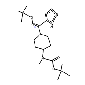 CN(C(=O)OC(C)(C)C)C1CCC(/C(=N/OC(C)(C)C)c2ccn[nH]2)CC1